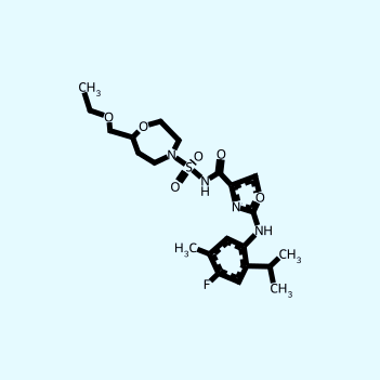 CCOCC1CCN(S(=O)(=O)NC(=O)c2coc(Nc3cc(C)c(F)cc3C(C)C)n2)CCO1